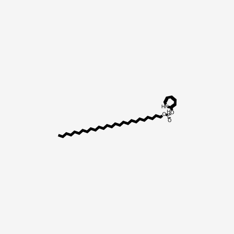 CCCCCCCCCCCCCCCCCCCCCCCCCCO[PH](=O)OC1=CC=CC=CN1